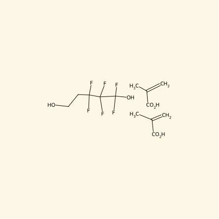 C=C(C)C(=O)O.C=C(C)C(=O)O.OCCC(F)(F)C(F)(F)C(O)(F)F